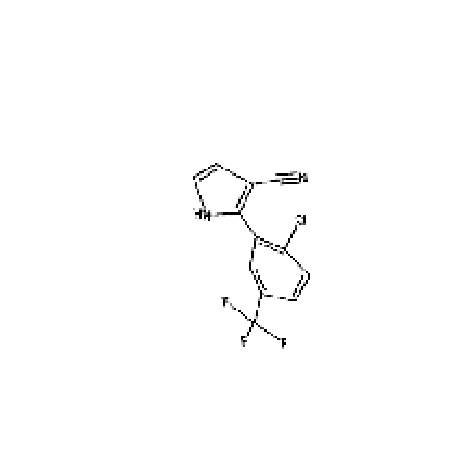 N#Cc1cc[nH]c1-c1cc(C(F)(F)F)ccc1Cl